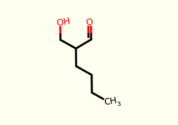 CCCCC(C=O)CO